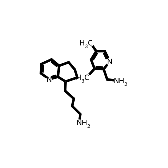 Cc1cnc(CN)c(C)c1.NCCCCC1CCCc2cccnc21